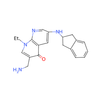 CCn1cc(CN)c(=O)c2cc(NC3Cc4ccccc4C3)cnc21